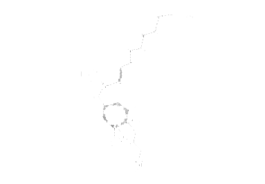 CCCCCCCCCCCCCCCCC=CN(Cc1ccc(OCCN)c(OC)c1)C(=O)O